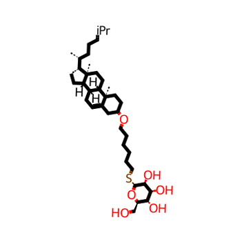 CC(C)CCC[C@@H](C)[C@H]1CC[C@H]2[C@@H]3CC=C4CC(OCCCCCCS[C@H]5O[C@H](CO)[C@@H](O)[C@H](O)[C@@H]5O)CC[C@]4(C)[C@H]3CC[C@]12C